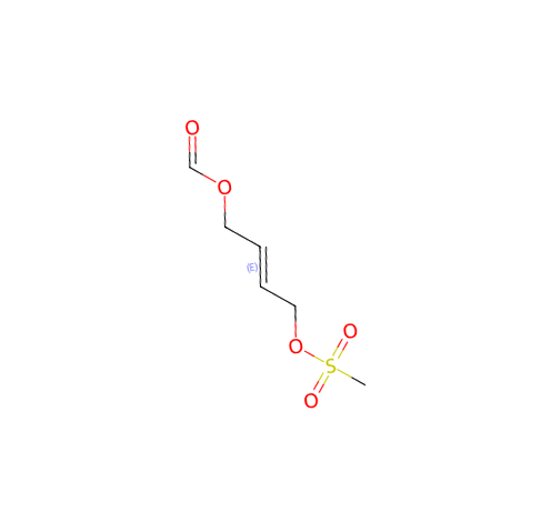 CS(=O)(=O)OC/C=C/COC=O